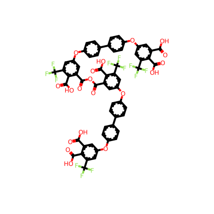 O=C(O)c1cc(Oc2ccc(-c3ccc(Oc4cc(C(=O)OC(=O)c5cc(Oc6ccc(-c7ccc(Oc8cc(C(=O)O)c(C(=O)O)c(C(F)(F)F)c8)cc7)cc6)cc(C(F)(F)F)c5C(=O)O)c(C(=O)O)c(C(F)(F)F)c4)cc3)cc2)cc(C(F)(F)F)c1C(=O)O